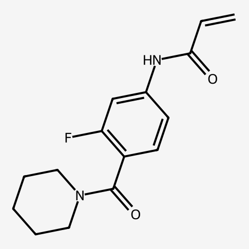 C=CC(=O)Nc1ccc(C(=O)N2CCCCC2)c(F)c1